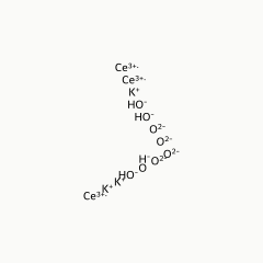 [Ce+3].[Ce+3].[Ce+3].[K+].[K+].[K+].[O-2].[O-2].[O-2].[O-2].[OH-].[OH-].[OH-].[OH-]